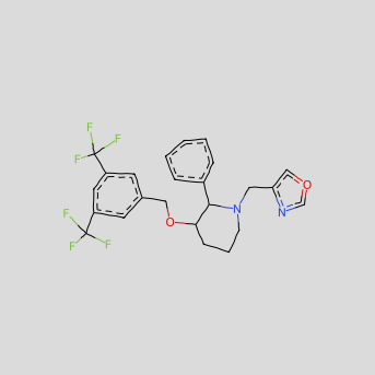 FC(F)(F)c1cc(COC2CCCN(Cc3cocn3)C2c2ccccc2)cc(C(F)(F)F)c1